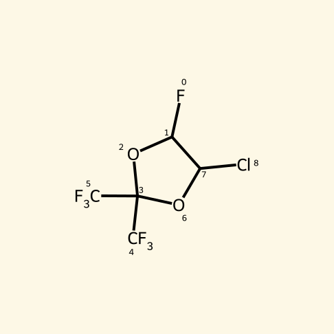 FC1OC(C(F)(F)F)(C(F)(F)F)OC1Cl